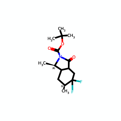 C[C@@H]1C2C[C@H](C)C(F)(F)CC2C(=O)N1C(=O)OC(C)(C)C